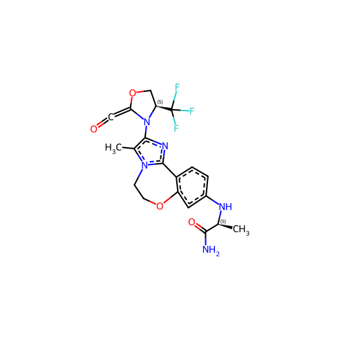 Cc1c(N2C(=C=O)OC[C@H]2C(F)(F)F)nc2n1CCOc1cc(N[C@@H](C)C(N)=O)ccc1-2